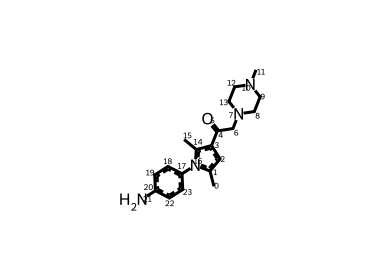 Cc1cc(C(=O)CN2CCN(C)CC2)c(C)n1-c1ccc(N)cc1